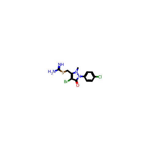 Cn1c(CSC(=N)N)c(Br)c(=O)n1-c1ccc(Cl)cc1